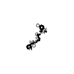 COc1ccc2nc(C)nc(SCC(=O)c3ccc(CNC(=O)Cc4cccnc4)s3)c2c1